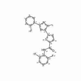 Cn1nc(-c2ccccc2F)cc1-c1ccc(C(=O)Nc2c(F)cccc2F)s1